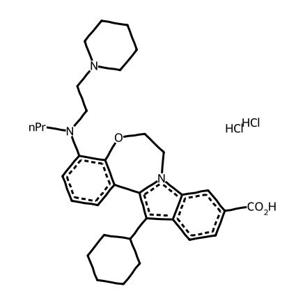 CCCN(CCN1CCCCC1)c1cccc2c1OCCn1c-2c(C2CCCCC2)c2ccc(C(=O)O)cc21.Cl.Cl